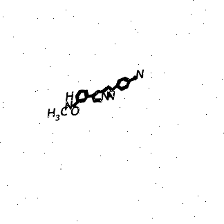 CNC(=O)c1cccc(-c2ccn3nc(-c4ccc(C#N)cc4)cc3c2)c1